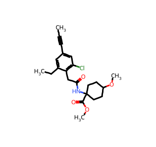 CC#Cc1cc(Cl)c(CC(=O)NC2(C(=O)OC)CCC(OC)CC2)c(CC)c1